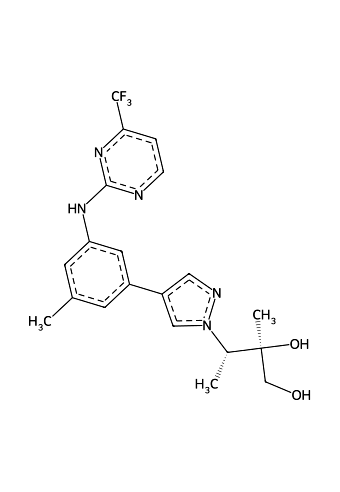 Cc1cc(Nc2nccc(C(F)(F)F)n2)cc(-c2cnn([C@@H](C)[C@@](C)(O)CO)c2)c1